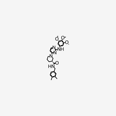 COc1cc(Nc2nccc(N3CCC[C@H](C(=O)NCc4ccc(C)c(C)c4)C3)n2)cc(OC)c1OC